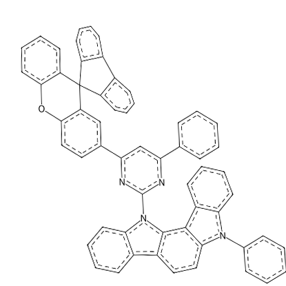 c1ccc(-c2cc(-c3ccc4c(c3)C3(c5ccccc5O4)c4ccccc4-c4ccccc43)nc(-n3c4ccccc4c4ccc5c(c6ccccc6n5-c5ccccc5)c43)n2)cc1